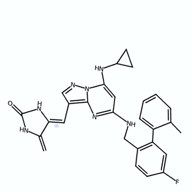 C=c1[nH]c(=O)[nH]/c1=C\c1cnn2c(NC3CC3)cc(NCc3ccc(F)cc3-c3ccccc3C)nc12